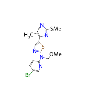 COCN(c1ccc(Br)cn1)c1ncc(-c2nc(SC)ncc2C)s1